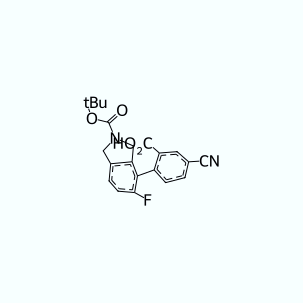 CC(C)(C)OC(=O)N1Cc2ccc(F)c(-c3ccc(C#N)cc3C(=O)O)c2C1